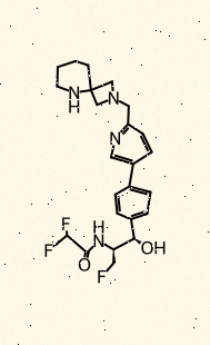 O=C(N[C@H](CF)[C@H](O)c1ccc(-c2ccc(CN3CC4(CCCCN4)C3)nc2)cc1)C(F)F